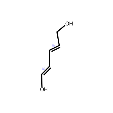 O/C=C/C=C/CO